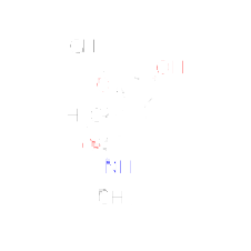 CCCOc1cc(O)ccc1C(C)CC(=O)NCC